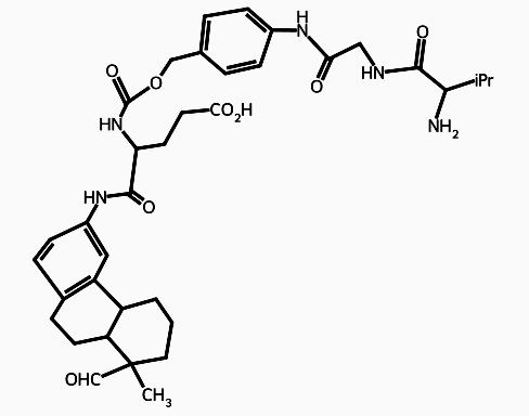 CC(C)C(N)C(=O)NCC(=O)Nc1ccc(COC(=O)NC(CCC(=O)O)C(=O)Nc2ccc3c(c2)C2CCCC(C)(C=O)C2CC3)cc1